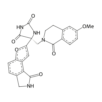 COc1ccc2c(c1)CCN(C[C@@]1(c3cc4c5c(ccc4o3)CNC5=O)NC(=O)NC1=O)C2=O